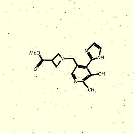 COC(=O)C1CN(Cc2cnc(C)c(O)c2-c2ncc[nH]2)C1